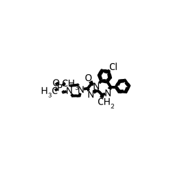 C=C1N=C(c2ccccc2)c2cc(Cl)ccc2N2C(=O)C(N3CCN(CP(C)(C)=O)CC3)N=C12